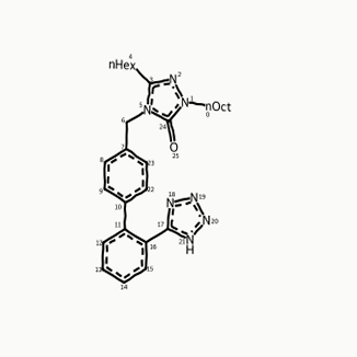 CCCCCCCCn1nc(CCCCCC)n(Cc2ccc(-c3ccccc3-c3nnn[nH]3)cc2)c1=O